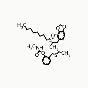 CCCCCCCC[S+]([O-])C(C)Cc1ccc2c(c1)OCO2.CCSCc1ccccc1OC(=O)NC